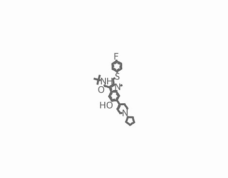 Cn1c(CSc2ccc(F)cc2)c(C(=O)NC(C)(C)C)c2cc(O)c(C3=CCN(C4CCCC4)CC3)cc21